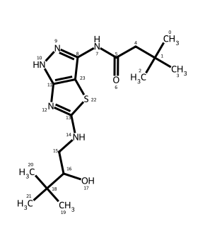 CC(C)(C)CC(=O)Nc1n[nH]c2nc(NCC(O)C(C)(C)C)sc12